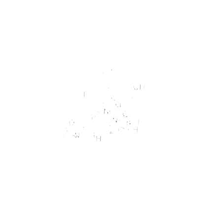 CCc1ccccc1[C@H](Cn1c(=O)n(C(C)(C)C(=O)O)c(=O)c2c(C)c(-c3ncco3)sc21)OCCO